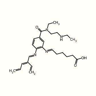 C=C/C=C(C=C)/C=N/c1ccc(C(=O)N(CC)CCNCC)cc1/N=C/CCCCC(=O)O